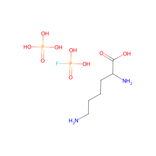 NCCCCC(N)C(=O)O.O=P(O)(O)F.O=P(O)(O)O